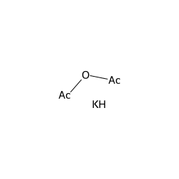 CC(=O)OC(C)=O.[KH]